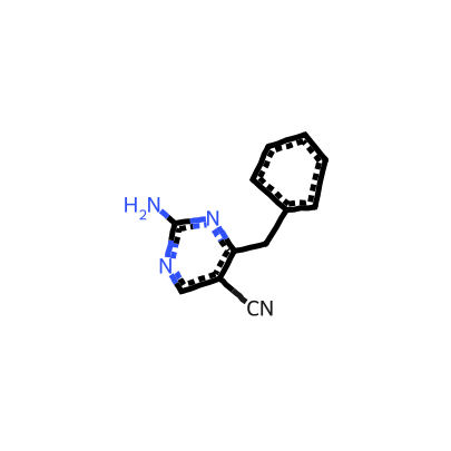 N#Cc1cnc(N)nc1Cc1ccccc1